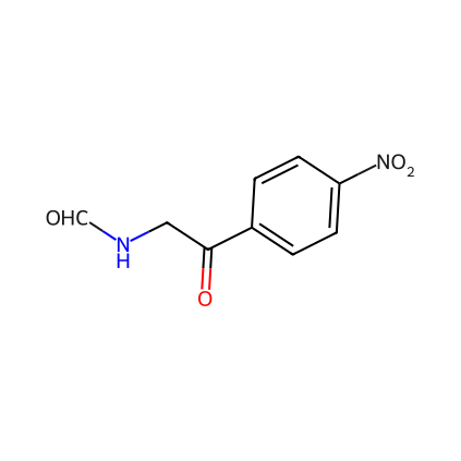 O=CNCC(=O)c1ccc([N+](=O)[O-])cc1